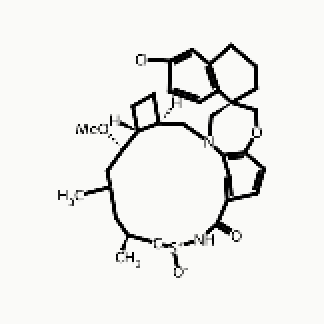 CO[C@H]1CC(C)C[C@H](C)C[S+]([O-])NC(=O)c2ccc3c(c2)N(C[C@@H]2CC[C@H]21)C[C@@]1(CCCc2cc(Cl)ccc21)CO3